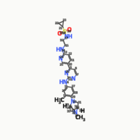 Cc1cc(Nc2nccc(-c3ccc(NCCNS(=O)(=O)C4CC4)nc3)n2)ccc1N1C[C@@H]2C[C@H]1CN2C